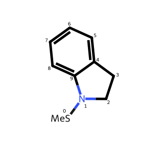 CSN1CCc2ccccc21